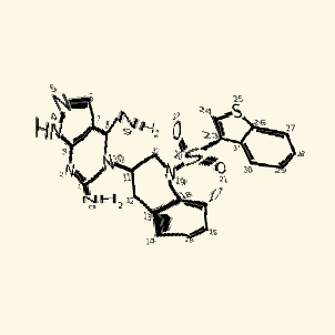 NC1=Nc2[nH]ncc2C(N)N1C1Cc2ccccc2N(S(=O)(=O)c2csc3ccccc23)C1